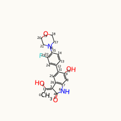 C/C(O)=C1\C(=O)Nc2cc(O)c(-c3ccc(N4CCOCC4)c(F)c3)cc21